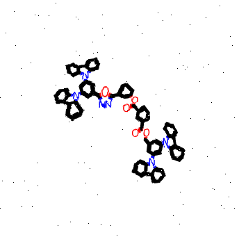 O=C(OCc1cc(-n2c3ccccc3c3ccccc32)cc(-n2c3ccccc3c3ccccc32)c1)c1cccc(C(=O)Oc2cccc(-c3nnc(-c4cc(-n5c6ccccc6c6ccccc65)cc(-n5c6ccccc6c6ccccc65)c4)o3)c2)c1